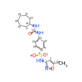 Cc1cc(NS(=O)(=O)c2ccc(NC(=O)NC3CCCCCC3)cc2)no1